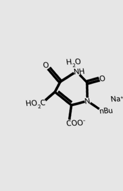 CCCCn1c(C(=O)[O-])c(C(=O)O)c(=O)[nH]c1=O.O.[Na+]